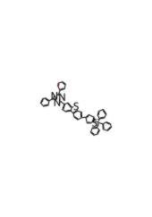 c1ccc(-c2nc(-c3ccccc3)nc(-c3ccc4c(c3)sc3cc(-c5ccc([Si](c6ccccc6)(c6ccccc6)c6ccccc6)cc5)ccc34)n2)cc1